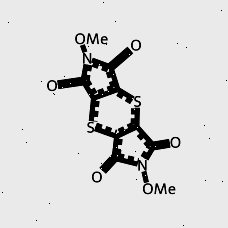 COn1c(=O)c2sc3c(=O)n(OC)c(=O)c3sc2c1=O